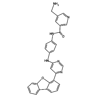 NCc1cncc(C(=O)Nc2ccc(Nc3cc(-c4cccc5c4oc4ccccc45)ncn3)cc2)c1